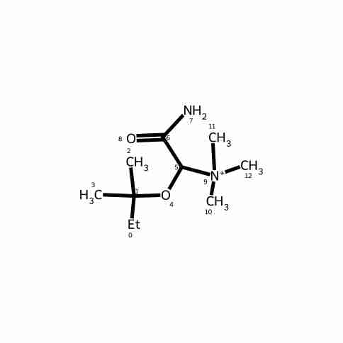 CCC(C)(C)OC(C(N)=O)[N+](C)(C)C